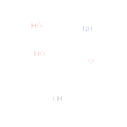 C=CCC(O)(CO)C(N)=O